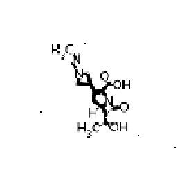 CN=CN1CC(C2=C(C(=O)O)N3C(=O)[C@H]([C@@H](C)O)[C@H]3C2)C1